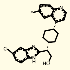 OCC(c1nc2cc(Cl)ccc2[nH]1)[C@H]1CC[C@@H](c2ccnc3ccc(F)cc32)CC1